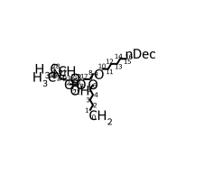 C=CCCCCOC(COCCCCCCCCCCCCCCCC)COP(=O)(O)OCC[N+](C)(C)C